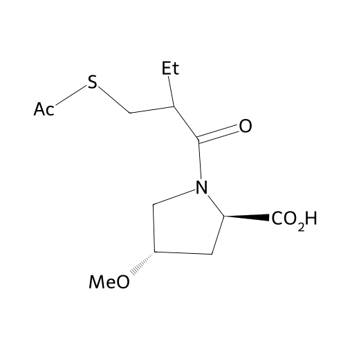 CCC(CSC(C)=O)C(=O)N1C[C@@H](OC)C[C@@H]1C(=O)O